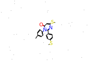 CSc1ccc(-c2nc(SC)cc(=O)n2-c2ccc(C)cc2)cc1